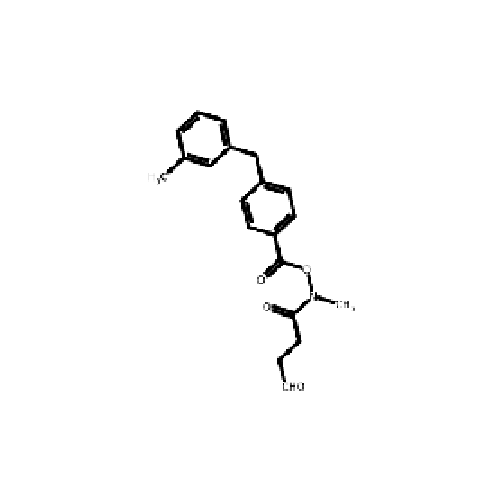 Cc1cccc(Cc2ccc(C(=O)ON(C)C(=O)CCC=O)cc2)c1